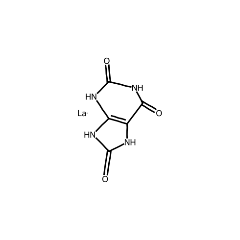 O=c1[nH]c(=O)c2[nH]c(=O)[nH]c2[nH]1.[La]